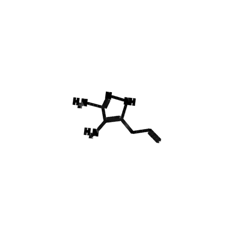 C=CCc1[nH]nc(N)c1N